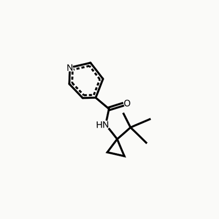 CC(C)(C)C1(NC(=O)c2ccncc2)CC1